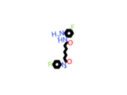 CN(C(=O)CCCCCC(=O)Nc1ccc(F)cc1N)c1ccc(F)cc1